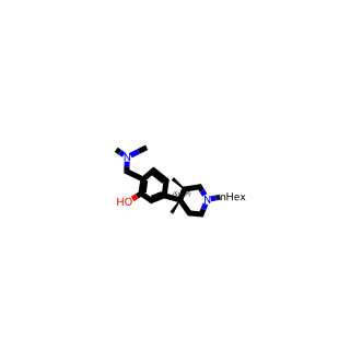 CCCCCCN1CC[C@](C)(c2ccc(CN(C)C)c(O)c2)[C@@H](C)C1